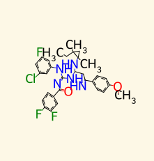 CCC1(C)CC1(C)NC(CC(=N)c1ccc(OC)cc1)N/C(=N\C(=O)c1ccc(F)c(F)c1)Nc1cc(F)cc(Cl)c1